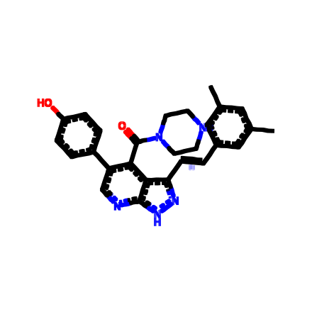 Cc1cc(C)cc(/C=C/c2n[nH]c3ncc(-c4ccc(O)cc4)c(C(=O)N4CCNCC4)c23)c1